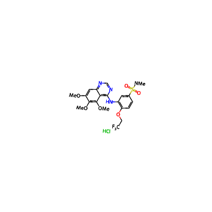 CNS(=O)(=O)c1ccc(OCC(F)(F)F)c(Nc2ncnc3cc(OC)c(OC)c(OC)c23)c1.Cl